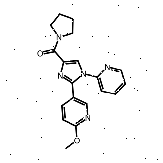 COc1ccc(-c2nc(C(=O)N3CCCC3)cn2-c2ccccn2)cn1